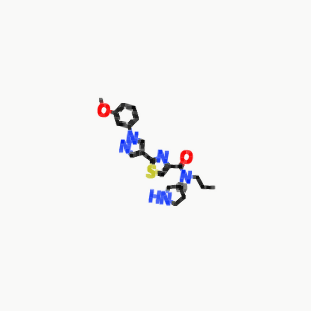 CCCN(C(=O)c1csc(-c2cnn(-c3cccc(OC)c3)c2)n1)[C@@H]1CCNC1